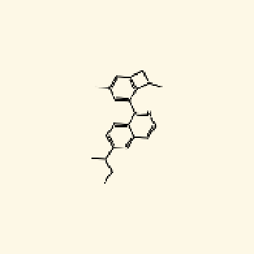 CCC(C)c1ccc2c(-c3cc(C)cc4c3C(C)C4)nccc2c1